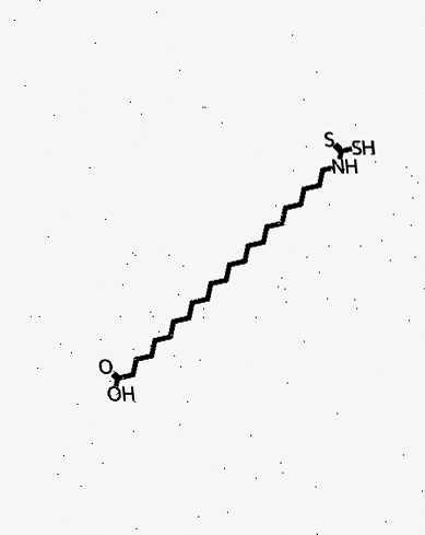 O=C(O)CCCCCCCCCCCCCCCCCCCCCCNC(=S)S